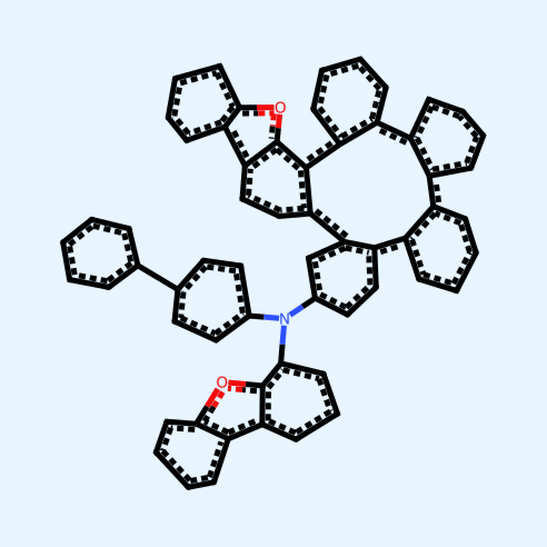 c1ccc(-c2ccc(N(c3ccc4c5ccccc5c5ccccc5c5ccccc5c5c(ccc6c7ccccc7oc65)c4c3)c3cccc4c3oc3ccccc34)cc2)cc1